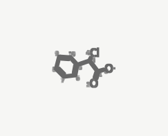 [O]C(=O)C(Cl)c1ccccc1